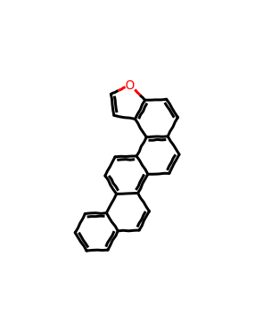 c1ccc2c(c1)ccc1c2ccc2c1ccc1ccc3occc3c12